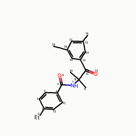 CCc1ccc(C(=O)NC(C)(C)C(=O)c2cc(C)cc(C)c2)cc1